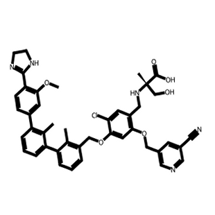 COc1cc(-c2cccc(-c3cccc(COc4cc(OCc5cncc(C#N)c5)c(CN[C@@](C)(CO)C(=O)O)cc4Cl)c3C)c2C)ccc1C1=NCCN1